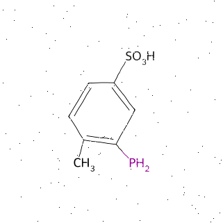 Cc1ccc(S(=O)(=O)O)cc1P